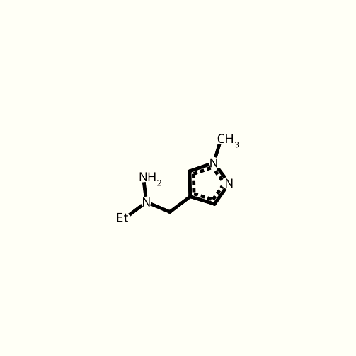 CCN(N)Cc1cnn(C)c1